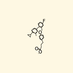 COC(=O)CCCc1ccc(OCc2cc(F)ccc2-c2ccc(C3CC3)c(C)c2)cc1